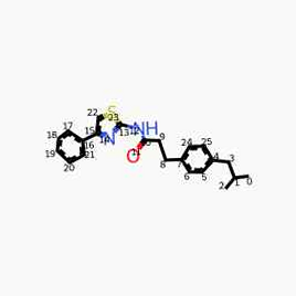 CC(C)Cc1ccc(CCC(=O)Nc2nc(-c3ccccc3)cs2)cc1